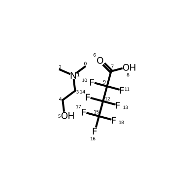 CN(C)CCO.O=C(O)C(F)(F)C(F)(F)C(F)(F)F